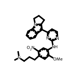 COc1cc(CCCN(C)C)c([N+](=O)[O-])cc1Nc1nccc(-c2c3n(c4ccccc24)CCC3)n1